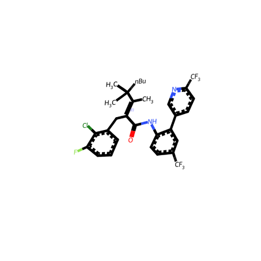 CCCCC(C)(C)/C(C)=C(\Cc1cccc(F)c1Cl)C(=O)Nc1ccc(C(F)(F)F)cc1-c1ccc(C(F)(F)F)nc1